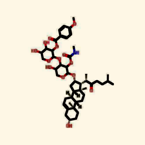 CNC(=O)OC1C(O[C@H]2C[C@H]3[C@@H]4CC=C5C[C@@H](O)CC[C@]5(C)[C@H]4CC[C@]3(C)[C@H]2[C@H](C)C(=O)CCC(C)C)OCC(O)C1OC1OCC(O)C(O)C1OC(=O)c1ccc(OC)cc1